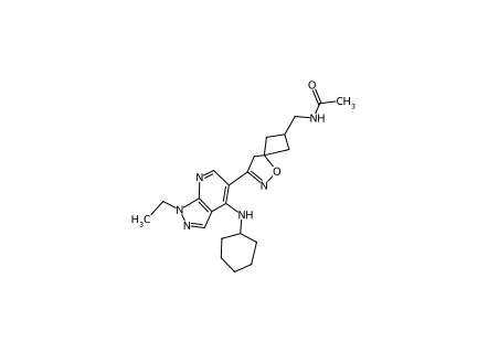 CCn1ncc2c(NC3CCCCC3)c(C3=NOC4(C3)CC(CNC(C)=O)C4)cnc21